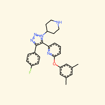 Cc1cc(C)cc(Oc2cccc(-c3c(-c4ccc(F)cc4)nnn3C3CCNCC3)n2)c1